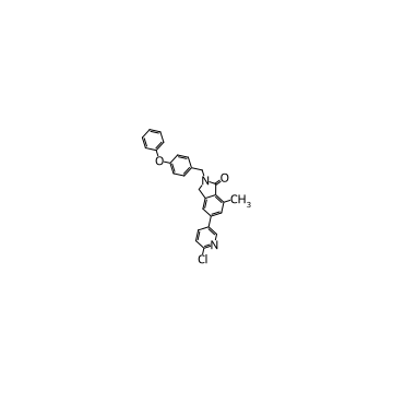 Cc1cc(-c2ccc(Cl)nc2)cc2c1C(=O)N(Cc1ccc(Oc3ccccc3)cc1)C2